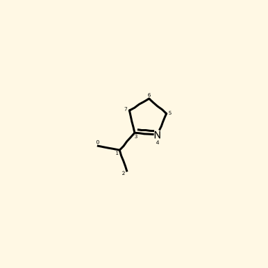 CC(C)C1=NCCC1